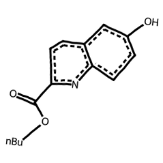 CCCCOC(=O)c1ccc2cc(O)ccc2n1